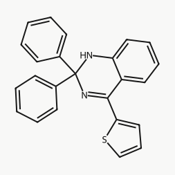 c1ccc(C2(c3ccccc3)N=C(c3cccs3)c3ccccc3N2)cc1